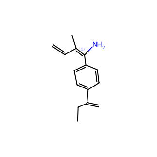 C=C/C(C)=C(/N)c1ccc(C(=C)CC)cc1